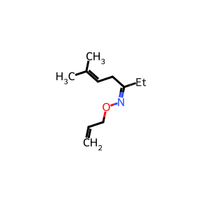 C=CCON=C(CC)CC=C(C)C